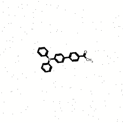 CC(=O)c1ccc(-c2ccc(N(c3ccccc3)c3ccccc3)cc2)cc1